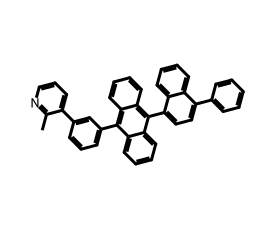 Cc1ncccc1-c1cccc(-c2c3ccccc3c(-c3ccc(-c4ccccc4)c4ccccc34)c3ccccc23)c1